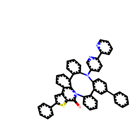 O=c1c2sc(-c3ccccc3)cc2c2cccc3c2n1-c1ccccc1-c1cc(-c2ccccc2)ccc1N(c1ccc(-c2ccccn2)nc1)c1ccccc1-3